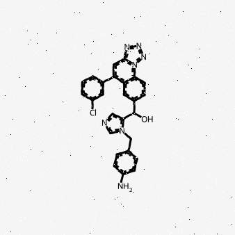 Nc1ccc(Cn2cncc2C(O)c2ccc3c(c2)c(-c2cccc(Cl)c2)cc2nnnn23)cc1